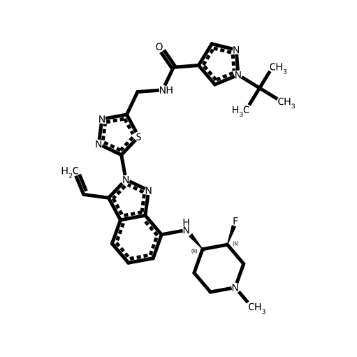 C=Cc1c2cccc(N[C@@H]3CCN(C)C[C@@H]3F)c2nn1-c1nnc(CNC(=O)c2cnn(C(C)(C)C)c2)s1